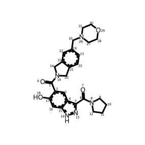 O=C(c1cc2c(C(=O)N3CCCC3)n[nH]c2cc1O)N1Cc2ccc(CN3CCOCC3)cc2C1